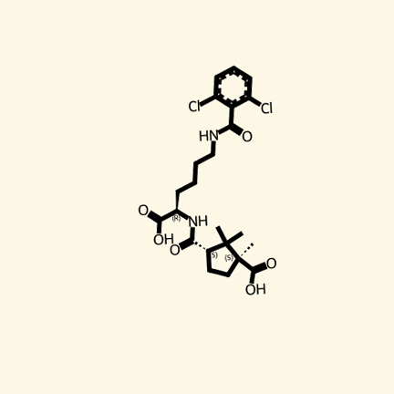 CC1(C)[C@@H](C(=O)N[C@H](CCCCNC(=O)c2c(Cl)cccc2Cl)C(=O)O)CC[C@]1(C)C(=O)O